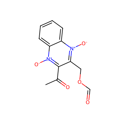 CC(=O)c1c(COC=O)[n+]([O-])c2ccccc2[n+]1[O-]